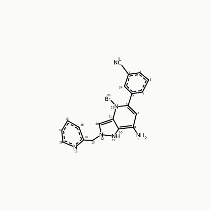 N#Cc1cccc(C2=CC(N)=C3NN(Cc4ccccn4)C=C3N2Br)c1